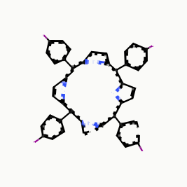 Ic1ccc(-c2c3nc(c(-c4ccc(I)cc4)c4ccc([nH]4)c(-c4ccc(I)cc4)c4nc(c(-c5ccc(I)cc5)c5ccc2[nH]5)C=C4)C=C3)cc1